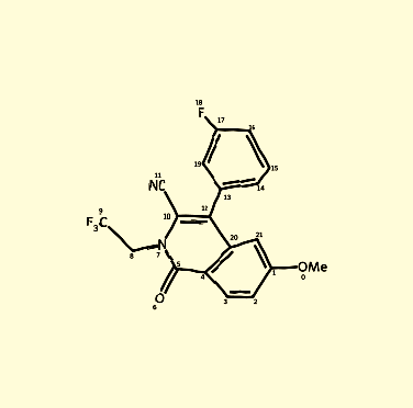 COc1ccc2c(=O)n(CC(F)(F)F)c(C#N)c(-c3cccc(F)c3)c2c1